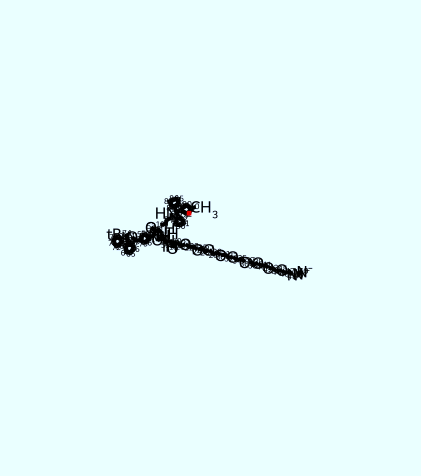 Cc1ccc(C(NCCCC[C@H](NC(=O)[C@@H](NC(=O)CCOCCOCCOCCOCCOCCOCCOCCOCCOCCN=[N+]=[N-])C(C)C)C(=O)Nc2ccc(CO[Si](c3ccccc3)(c3ccccc3)C(C)(C)C)cc2)(c2ccccc2)c2ccccc2)cc1